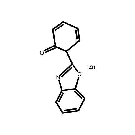 O=C1C=CC=CC1c1nc2ccccc2o1.[Zn]